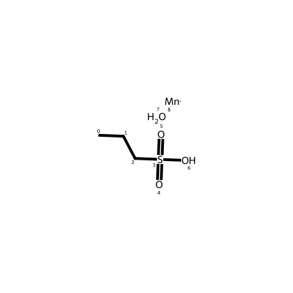 CCCS(=O)(=O)O.O.[Mn]